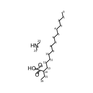 CCCCCCCCCCCCCCC(CC)S(=O)(=O)O.CNC